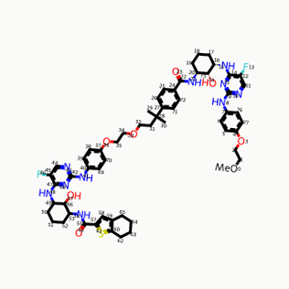 COCCOc1ccc(Nc2ncc(F)c(N[C@H]3CCC[C@H](NC(=O)c4ccc(C(C)(C)CCOCCOc5ccc(Nc6ncc(F)c(NC7CCCC(NC(=O)c8cc9c(s8)CCCC9)C7O)n6)cc5)cc4)[C@H]3O)n2)cc1